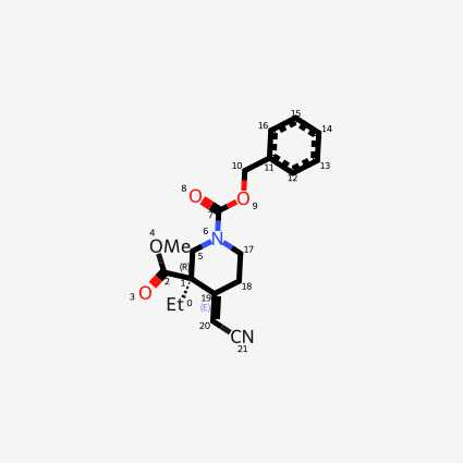 CC[C@]1(C(=O)OC)CN(C(=O)OCc2ccccc2)CC/C1=C\C#N